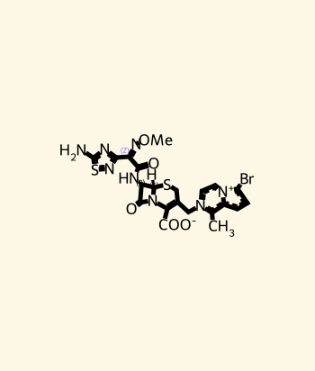 CO/N=C(\C(=O)N[C@@H]1C(=O)N2C(C(=O)[O-])=C(Cn3cc[n+]4c(Br)ccc-4c3C)CS[C@@H]12)c1nsc(N)n1